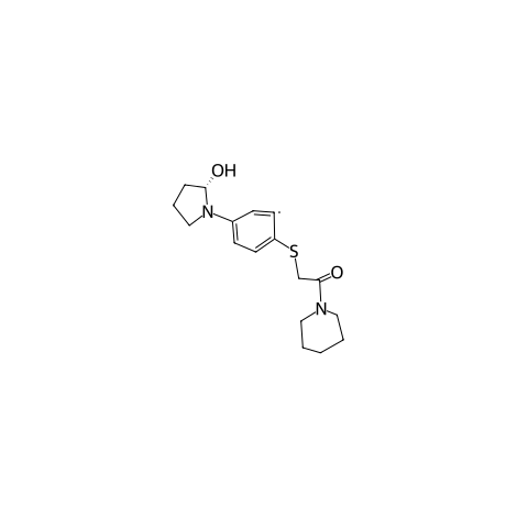 O=C(CSc1[c]cc(N2CCC[C@@H]2O)cc1)N1CCCCC1